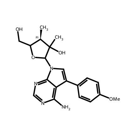 COc1ccc(-c2cn(C3OC(CO)[C@@H](C)C3(C)O)c3ncnc(N)c23)cc1